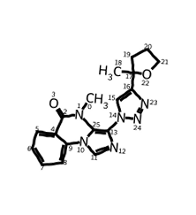 Cn1c(=O)c2ccccc2n2cnc(-n3cc(C4(C)CCCO4)nn3)c12